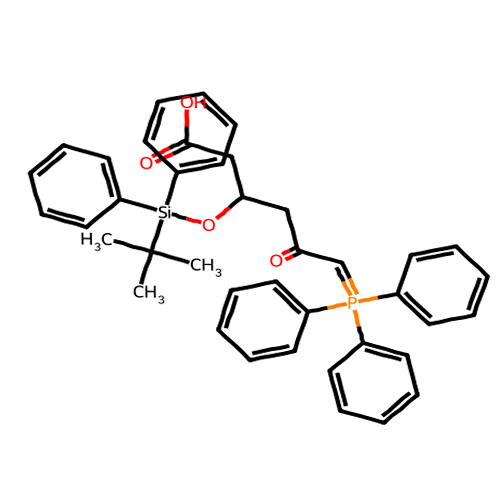 CC(C)(C)[Si](OC(CC(=O)O)CC(=O)C=P(c1ccccc1)(c1ccccc1)c1ccccc1)(c1ccccc1)c1ccccc1